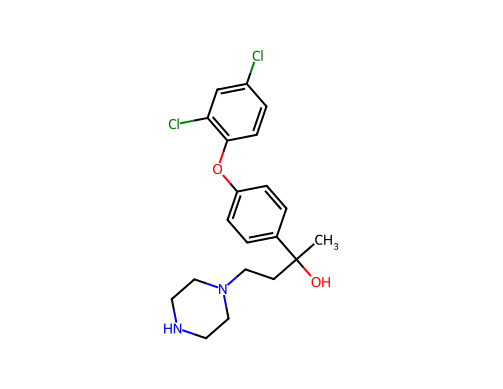 CC(O)(CCN1CCNCC1)c1ccc(Oc2ccc(Cl)cc2Cl)cc1